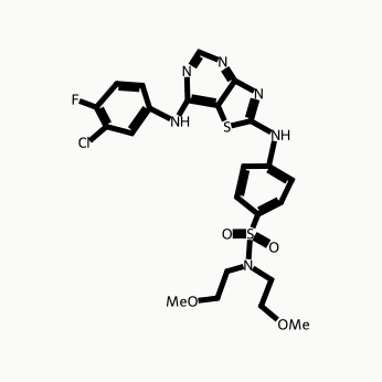 COCCN(CCOC)S(=O)(=O)c1ccc(Nc2nc3ncnc(Nc4ccc(F)c(Cl)c4)c3s2)cc1